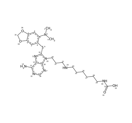 CN(C)c1cc2c(cc1Sc1nc3c(N)ncnc3n1CCCNCCCCCCNC(=O)O)OCO2